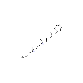 CC(=O)CC/C=C(\C)CC/C=C(\C)CC/C=C(\C)Cc1ccccc1